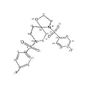 O=S(=O)(c1ccc(F)cc1)N1CCC2(CC1)OCCN2S(=O)(=O)c1ccc(F)cc1